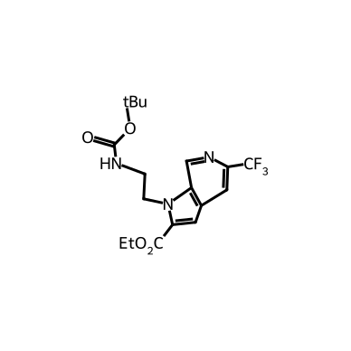 CCOC(=O)c1cc2cc(C(F)(F)F)ncc2n1CCNC(=O)OC(C)(C)C